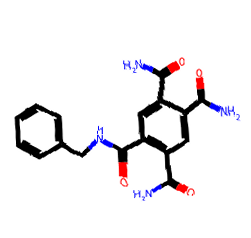 NC(=O)c1cc(C(N)=O)c(C(=O)NCc2ccccc2)cc1C(N)=O